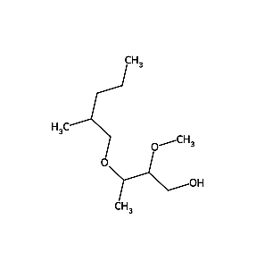 CCCC(C)COC(C)C(CO)OC